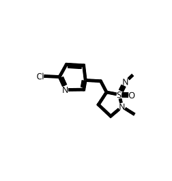 CN=S1(=O)C(Cc2ccc(Cl)nc2)CCN1C